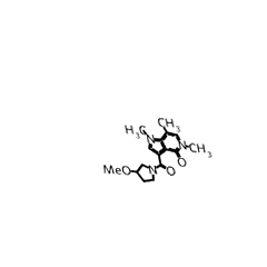 COC1CCN(C(=O)c2cn(C)c3c(C)cn(C)c(=O)c23)C1